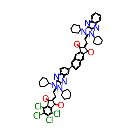 O=C1/C(=C/C=C2N(C3CCCCC3)c3nc4ccccc4nc3N2C2CCCCC2)C(=O)c2cc3cc(-c4ccc5nc6c(nc5c4)N(C4CCCCC4)/C(=C\C=C4C(=O)c5c(Cl)c(Cl)c(Cl)c(Cl)c5C4=O)N6C4CCCCC4)ccc3cc21